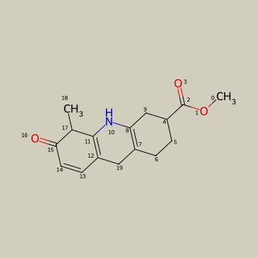 COC(=O)C1CCC2=C(C1)NC1=C(C=CC(=O)C1C)C2